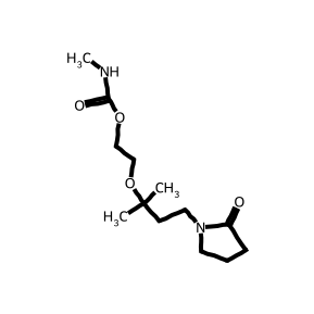 CNC(=O)OCCOC(C)(C)CCN1CCCC1=O